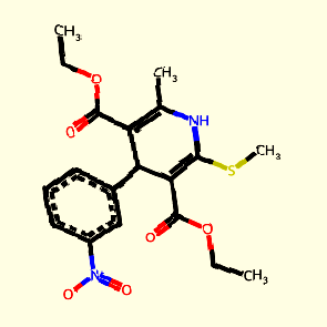 CCOC(=O)C1=C(C)NC(SC)=C(C(=O)OCC)C1c1cccc([N+](=O)[O-])c1